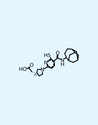 O=C(O)C[C@H]1CCN(c2ccc(C(=O)NC3CCC4CC5CC4CC3C5)c(S)n2)C1